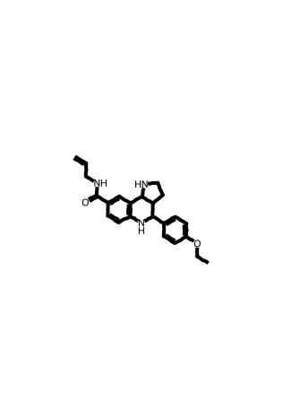 C=CCNC(=O)c1ccc2c(c1)C1NCCC1C(c1ccc(OCC)cc1)N2